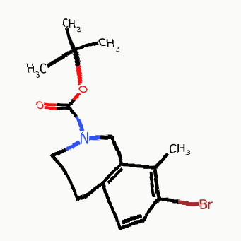 Cc1c(Br)ccc2c1CN(C(=O)OC(C)(C)C)CC2